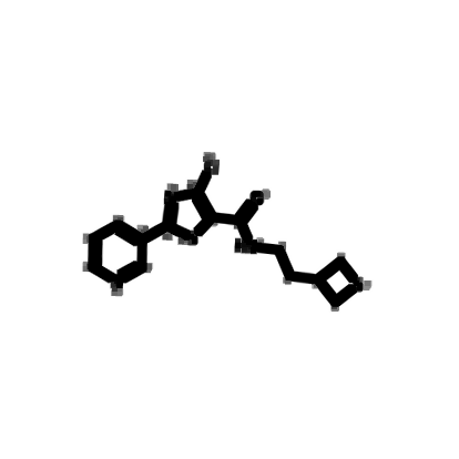 O=C(NCCC1CSC1)c1sc(-c2cccnc2)nc1Cl